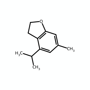 Cc1cc2c(c(C(C)C)c1)CCO2